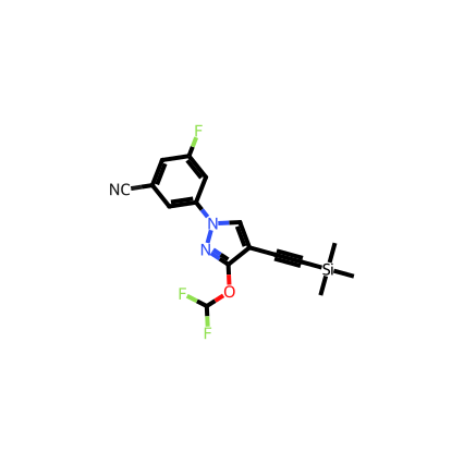 C[Si](C)(C)C#Cc1cn(-c2cc(F)cc(C#N)c2)nc1OC(F)F